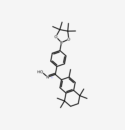 Cc1cc2c(cc1/C(=N/O)c1ccc(B3OC(C)(C)C(C)(C)O3)cc1)C(C)(C)CCC2(C)C